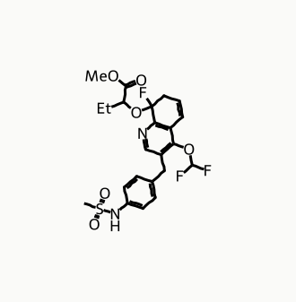 CCC(OC1(F)CC=Cc2c1ncc(Cc1ccc(NS(C)(=O)=O)cc1)c2OC(F)F)C(=O)OC